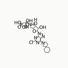 O=P(O)(O)CP(=O)(O)NCC1OC(n2cnc3c(N4CCC5(CCCCC5)C4)nc(Cl)nc32)C(O)C1O